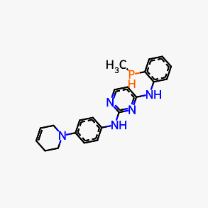 CPc1ccccc1Nc1ccnc(Nc2ccc(N3CC=CCC3)cc2)n1